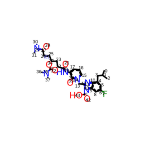 CC(C)Cc1cc(F)cc2c1nc(Cn1cccc(NC(=O)C(CC/C=C/C(=O)N(C)C)OC(=O)N(C)C)c1=O)n2C(=O)O